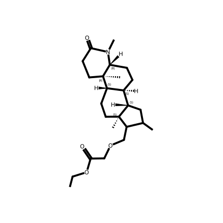 CCOC(=O)COCC1C(C)C[C@H]2[C@@H]3CC[C@H]4N(C)C(=O)CC[C@]4(C)[C@H]3CC[C@]12C